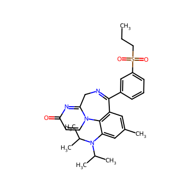 CCCS(=O)(=O)c1cccc(C2=NCc3nc(=O)ccn3-c3c2cc(C)cc3N(C(C)C)C(C)C)c1